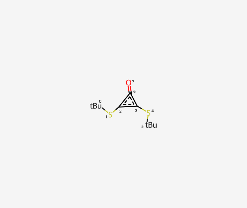 CC(C)(C)Sc1c(SC(C)(C)C)c1=O